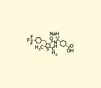 Cc1sc(C)c(C(=O)NC2(c3ccc(C(=O)O)cc3)CC2)c1Cc1ccc(C(F)(F)F)cc1.[NaH]